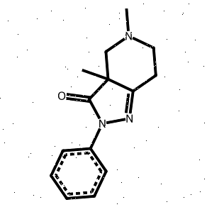 CN1CCC2=NN(c3ccccc3)C(=O)C2(C)C1